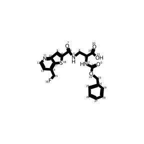 O=C(NC(CNC(=O)c1cc2nccc(CF)c2s1)C(=O)O)OCc1ccccc1